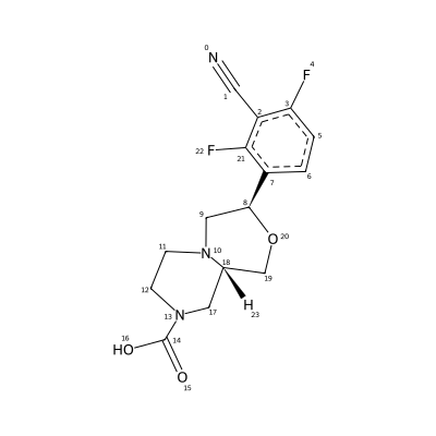 N#Cc1c(F)ccc([C@@H]2CN3CCN(C(=O)O)C[C@H]3CO2)c1F